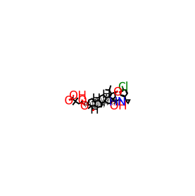 CC(C)C1=C2[C@H]3CC[C@@H]4[C@@]5(C)CC[C@H](OC(=O)CC(C)(C)C(=O)O)C(C)(C)[C@@H]5CC[C@@]4(C)[C@]3(C)CC[C@@]2([C@H](O)CNC2(c3ccc(Cl)cc3)CC2)CC1=O